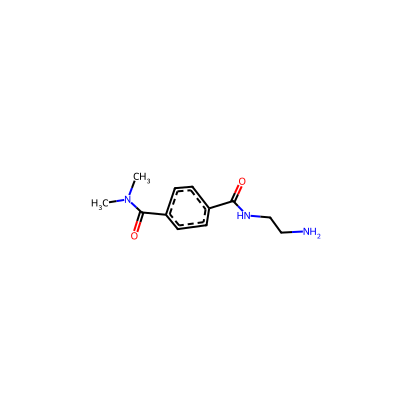 CN(C)C(=O)c1ccc(C(=O)NCCN)cc1